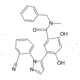 CN(Cc1ccccc1)C(=O)c1cc(-c2ccnn2-c2ccccc2C#N)c(O)cc1O